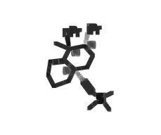 CCC[C@]1(C)C2=CCCC[C@]2(C#C[Si](C)(C)C)CC[C@H]1C(C)C